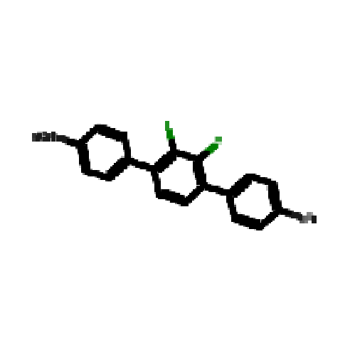 CCCCCCCCc1ccc(-c2ccc(-c3ccc(CCC)cc3)c(F)c2F)cc1